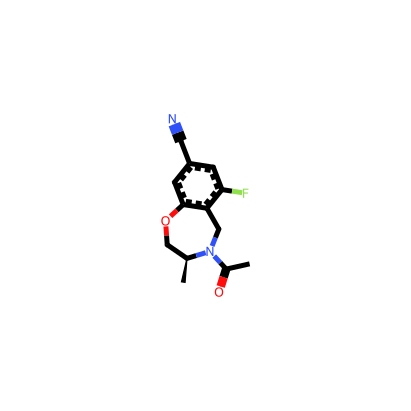 CC(=O)N1Cc2c(F)cc(C#N)cc2OC[C@@H]1C